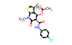 CC(=O)Oc1c(C(=O)Nc2ccc(Cl)cc2)c(=O)n(C)c2scc(C)c12